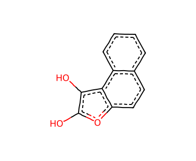 Oc1oc2ccc3ccccc3c2c1O